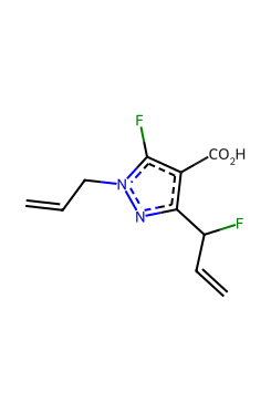 C=CCn1nc(C(F)C=C)c(C(=O)O)c1F